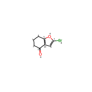 O=C1CCCc2oc(Br)cc21